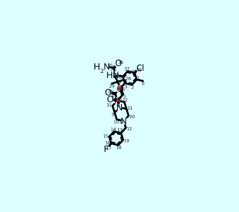 Cc1cc(/C=C/C(=O)N2C3CN(Cc4ccc(F)cc4)CC2CN(C(=O)OC(C)(C)C)C3)c(NC(N)=O)cc1Cl